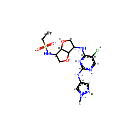 CC(C)CS(=O)(=O)NC1COC2C(Nc3nc(Nc4cnn(C)c4)ncc3Cl)COC12